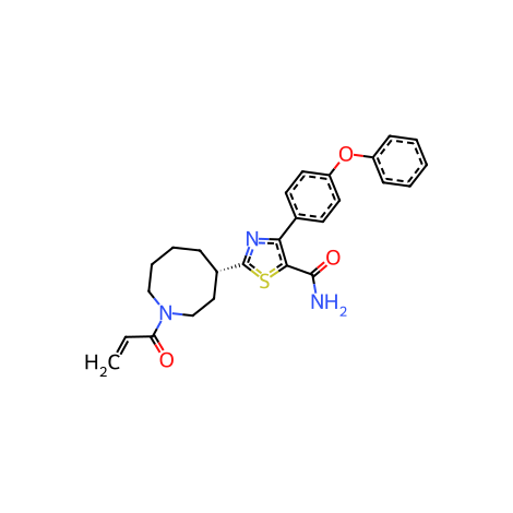 C=CC(=O)N1CCCC[C@H](c2nc(-c3ccc(Oc4ccccc4)cc3)c(C(N)=O)s2)CC1